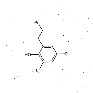 CC(C)CCc1cc(Cl)cc(Cl)c1O